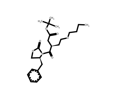 CCCCOCC[C@H](CC(=O)OC(C)(C)C)C(=O)N1C(=O)OC[C@@H]1Cc1ccccc1